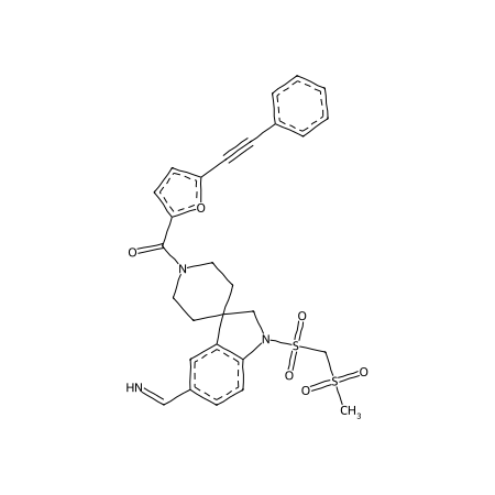 CS(=O)(=O)CS(=O)(=O)N1CC2(CCN(C(=O)c3ccc(C#Cc4ccccc4)o3)CC2)c2cc(C=N)ccc21